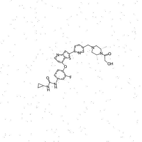 C[C@@H]1CN(Cc2ccc(-c3cc4nccc(Oc5ccc(NC(=O)NC6CC6)cc5F)c4s3)nc2)C[C@H](C)N1C(=O)CO